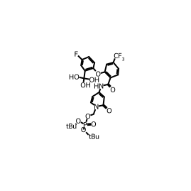 CC(C)(C)OP(=O)(OCn1ccc(NC(=O)c2ccc(C(F)(F)F)cc2Oc2ccc(F)cc2C(O)(O)O)cc1=O)OC(C)(C)C